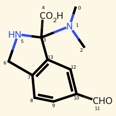 CN(C)C1(C(=O)O)NCc2ccc(C=O)cc21